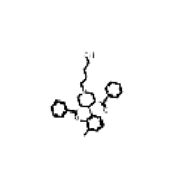 Cc1cccc([C@@H]2[C@@H](C(=O)c3ccccc3)CN(CCCCO)C[C@H]2C(=O)c2ccccc2)c1C